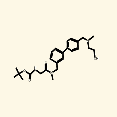 CN(CCO)Cc1ccc(-c2cccc(CN(C)C(=O)CNC(=O)OC(C)(C)C)c2)cc1